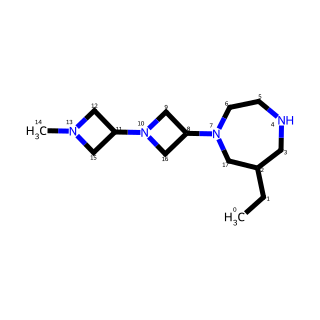 CCC1CNCCN(C2CN(C3CN(C)C3)C2)C1